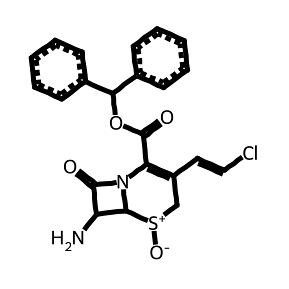 NC1C(=O)N2C(C(=O)OC(c3ccccc3)c3ccccc3)=C(C=CCl)C[S+]([O-])C12